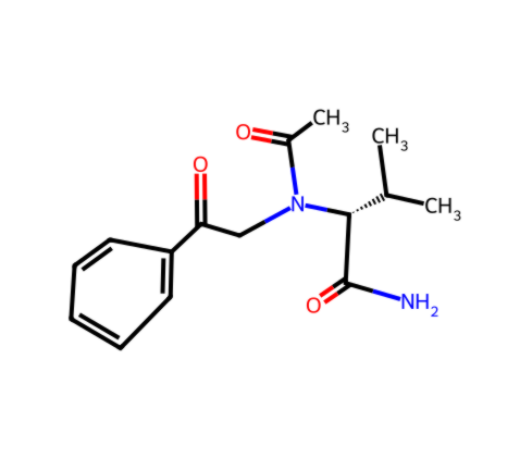 CC(=O)N(CC(=O)c1ccccc1)[C@@H](C(N)=O)C(C)C